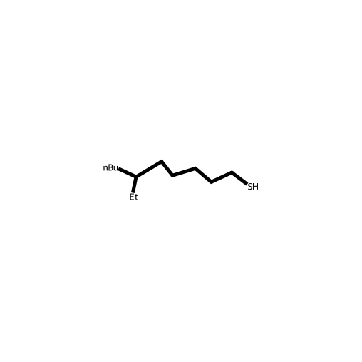 CCCCC(CC)CCCCCS